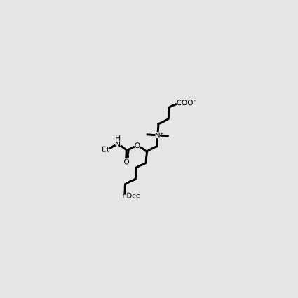 CCCCCCCCCCCCCCC(C[N+](C)(C)CCCC(=O)[O-])OC(=O)NCC